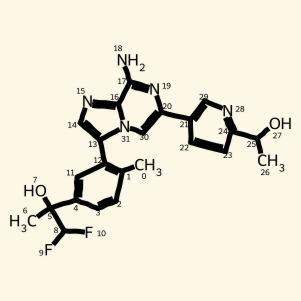 Cc1ccc(C(C)(O)C(F)F)cc1-c1cnc2c(N)nc(-c3ccc(C(C)O)nc3)cn12